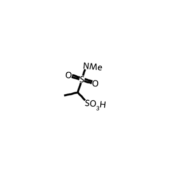 CNS(=O)(=O)C(C)S(=O)(=O)O